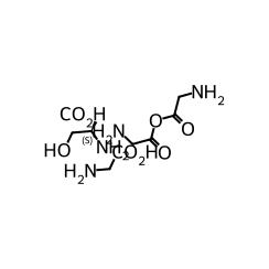 NCC(=O)O.NCC(=O)OC(=O)CN.N[C@@H](CO)C(=O)O